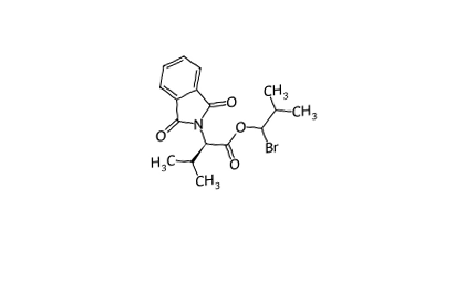 CC(C)C(Br)OC(=O)[C@@H](C(C)C)N1C(=O)c2ccccc2C1=O